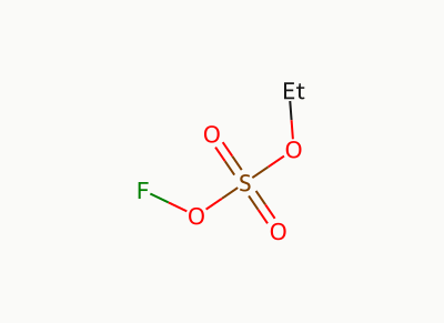 CCOS(=O)(=O)OF